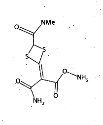 CNC(=O)C1SC(=C(C(N)=O)C(=O)ON)S1